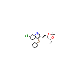 CC[C@H]1C[C@@H](/C=C/c2cnc3cc(Cl)ccc3c2Sc2ccccc2)OC(C)(C)O1